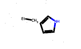 CCC.c1cc[nH]c1